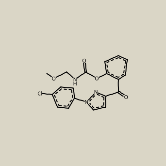 COCNC(=O)Oc1ccccc1C(=O)c1ccn(-c2ccc(Cl)cc2)n1